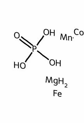 O=P(O)(O)O.[Co].[Fe].[MgH2].[Mn]